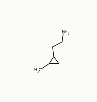 CC1CC1CCN